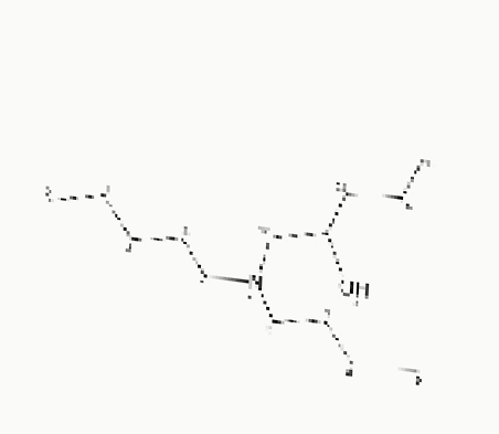 CCCCCN(CCCC)CC(O)CCC